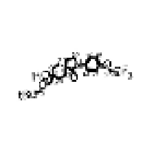 CC(C)(C)COC[C@]1(O)CC[C@@]2(CCN(c3ccc(OCC(F)(F)F)cc3)C2=O)CC1